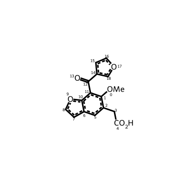 COc1c(CC(=O)O)cc2ccoc2c1C(=O)c1ccoc1